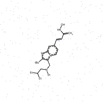 C=C(/C=C/c1ccn2c(CN(CC)CC(CC)CC)c(C(C)(C)C)nc2c1)NO